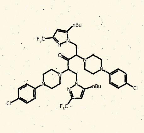 CCCCc1cc(C(F)(F)F)nn1CC(C(=O)C(Cn1nc(C(F)(F)F)cc1CCCC)N1CCN(c2ccc(Cl)cc2)CC1)N1CCN(c2ccc(Cl)cc2)CC1